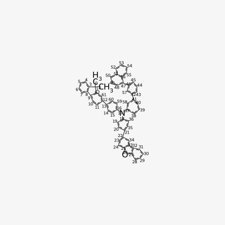 CC1(C)c2ccccc2-c2ccc(-c3ccc(N(c4ccc(-c5ccc6oc7ccccc7c6c5)cc4)c4cccc(-c5cccc(-c6cccc7ccccc67)c5)c4)cc3)cc21